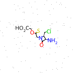 N[C@H]1C(=O)N(CC(=S)OCC(=O)O)[C@H]1CCl